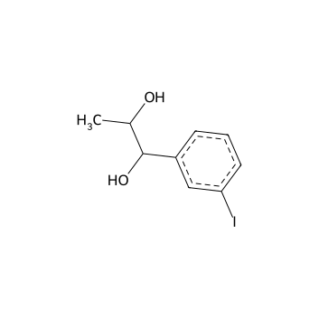 CC(O)C(O)c1cccc(I)c1